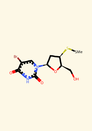 CSS[C@@H]1C[C@H](n2cc(Br)c(=O)[nH]c2=O)O[C@@H]1CO